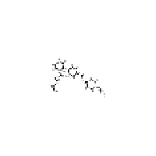 C/C=C/C1CCC(CCc2ccc(-c3ccccc3COCCC)cc2)CC1